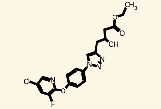 CCOC(=O)CC(O)Cc1cn(-c2ccc(Oc3ncc(Cl)cc3F)cc2)nn1